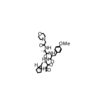 COc1ccc(C[C@H](NC(=O)[C@H](C)NC(=O)CN2CCOCC2)C(=O)N[C@@H](CC2[C@H]3CCC[C@@H]23)C(=O)[C@]2(C)CO2)cc1